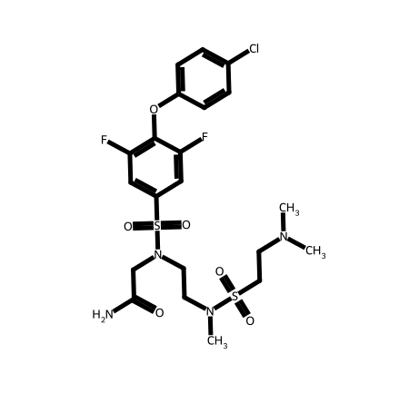 CN(C)CCS(=O)(=O)N(C)CCN(CC(N)=O)S(=O)(=O)c1cc(F)c(Oc2ccc(Cl)cc2)c(F)c1